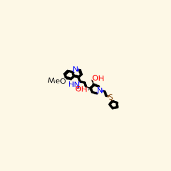 COc1ccc2nccc(C(CC[C@@H]3CCN(CCSC4CCCC4)C[C@@H]3CO)NO)c2c1